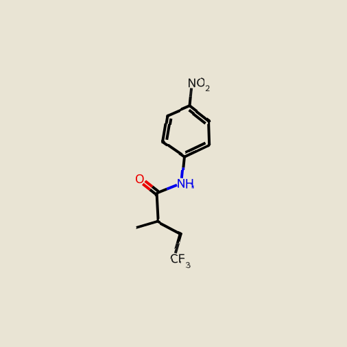 CC(CC(F)(F)F)C(=O)Nc1ccc([N+](=O)[O-])cc1